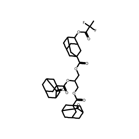 CC(F)(F)C(=O)OC1C2CC3CC1CC(C(=O)OCC(COC(=O)C14CC5CC(C1)C(=O)C(C5)C4)OC(=O)C14CC5CC(C1)C(=O)C(C5)C4)(C3)C2